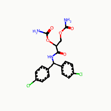 NC(=O)OCC(OC(N)=O)C(=O)NC(c1ccc(Cl)cc1)c1ccc(Cl)cc1